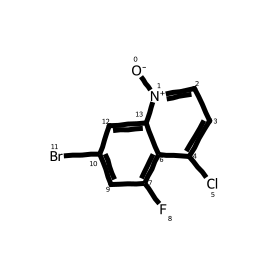 [O-][n+]1ccc(Cl)c2c(F)cc(Br)cc21